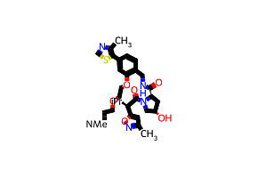 CNCCOCCOc1cc(-c2scnc2C)ccc1CNC(=O)[C@@H]1C[C@@H](O)CN1C(=O)[C@@H](c1cc(C)no1)C(C)C